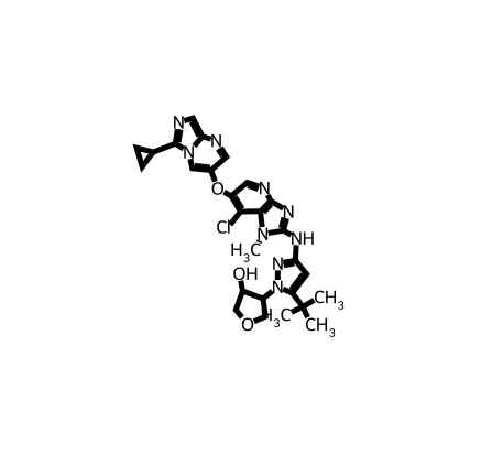 Cn1c(Nc2cc(C(C)(C)C)n(C3COCC3O)n2)nc2ncc(Oc3cnc4cnc(C5CC5)n4c3)c(Cl)c21